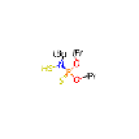 CC(C)OP(=S)(OC(C)C)N(S)C(C)(C)C